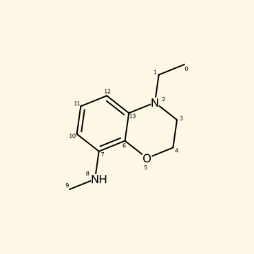 CCN1CCOc2c(NC)cccc21